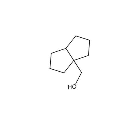 OCC12CCCC1CCC2